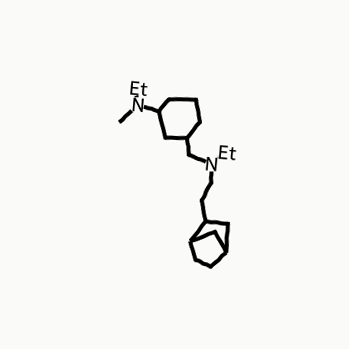 CCN(CCC1CC2CCC1C2)CC1CCCC(N(C)CC)C1